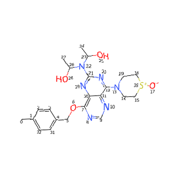 Cc1ccc(COc2ncnc3c(N4CC[S+]([O-])CC4)nc(N(C(C)O)C(C)O)nc23)cc1